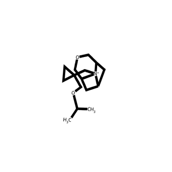 CC(C)OCC1(C[N+]23C4COCC2CC3C4)CC1